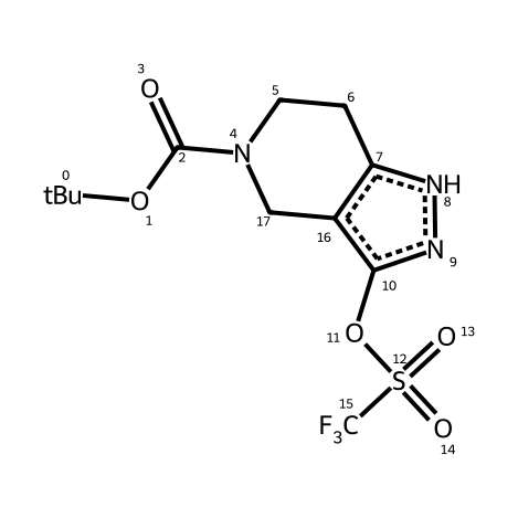 CC(C)(C)OC(=O)N1CCc2[nH]nc(OS(=O)(=O)C(F)(F)F)c2C1